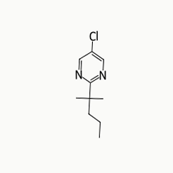 CCCC(C)(C)c1ncc(Cl)cn1